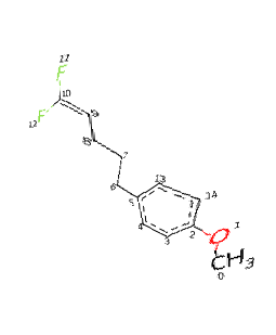 COc1ccc(CCCC=C(F)F)cc1